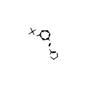 FC(F)(F)Oc1cccc(N=NC2=NCCS2)c1